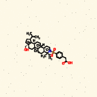 C=C(C)[C@@H]1CC[C@]2(CO)CC[C@]3(C)[C@H](CC[C@@H]4[C@@]5(C)CCN(S(=O)(=O)c6ccc(CC(=O)O)cc6)C(C)(C)C5CC[C@]43C)[C@@H]12